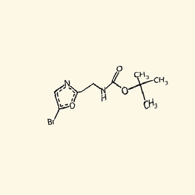 CC(C)(C)OC(=O)NCc1ncc(Br)o1